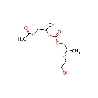 CC(=O)OCC(C)OC(=O)OCC(C)OCCO